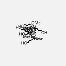 CO[Si](CCCO)(OC)O[Si](CCCO)(OC)O[Si](CCCO)(O[Si](CCCO)(OC)OC)O[Si](CCCO)(OC)OC